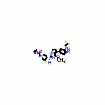 COc1nc(N[C@H]2CCN(CC(=O)N3CCC3)C[C@H]2F)nn2ccc(-c3ccc4nnn(CC(F)F)c4c3)c12